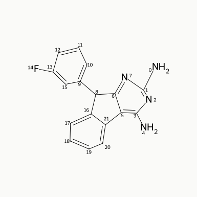 Nc1nc(N)c2c(n1)C(c1cccc(F)c1)c1ccccc1-2